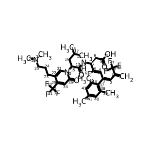 C=C(/C=C(\C=C(/F)[C@H](CC(=O)O)NC(=O)C(CC(C)C)n1cc(CCCN(C)C)c(C(F)(F)F)cc1=O)c1c(C)cc(C)cc1C)C(F)(F)F